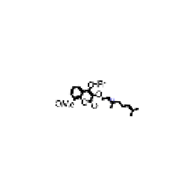 COc1cccc2c(OC(C)C)c(OC/C=C(\C)CCC=C(C)C)c(=O)oc12